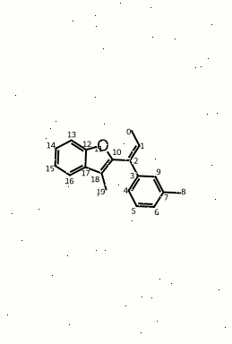 C/C=C(/c1cccc(C)c1)c1oc2ccccc2c1C